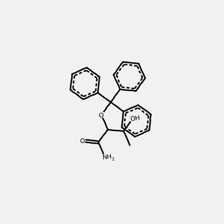 CC(O)C(OC(c1ccccc1)(c1ccccc1)c1ccccc1)C(N)=O